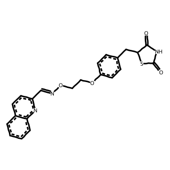 O=C1NC(=O)C(Cc2ccc(OCCON=Cc3ccc4ccccc4n3)cc2)S1